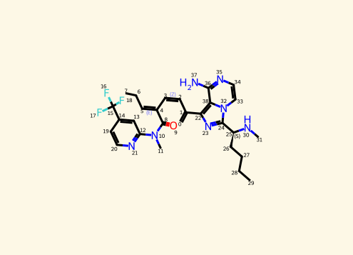 C=C(/C=C\C(=C/CC)C(=O)N(C)c1cc(C(F)(F)F)ccn1)c1nc([C@H](CCCC)NC)n2ccnc(N)c12